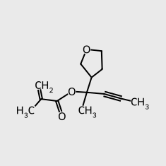 C=C(C)C(=O)OC(C)(C#CC)C1CCOC1